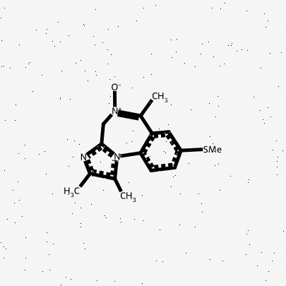 CSc1ccc2c(c1)C(C)=[N+]([O-])Cc1nc(C)c(C)n1-2